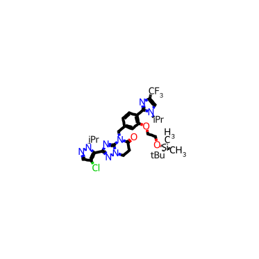 CC(C)n1cc(C(F)(F)F)nc1-c1ccc(CN2C(=O)CCn3nc(-c4c(Cl)cnn4C(C)C)nc32)cc1OCCO[Si](C)(C)C(C)(C)C